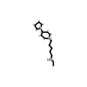 CCNCCCCCN1CCC(N2CCCC2)CC1